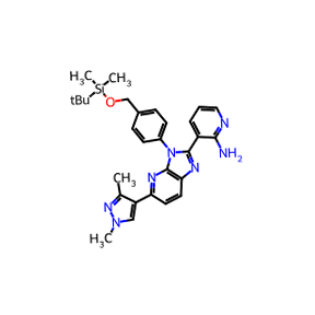 Cc1nn(C)cc1-c1ccc2nc(-c3cccnc3N)n(-c3ccc(CO[Si](C)(C)C(C)(C)C)cc3)c2n1